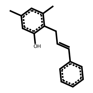 Cc1cc(C)c(C/C=C/c2ccccc2)c(O)c1